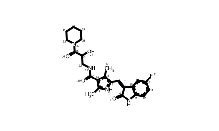 Cc1[nH]c(/C=C2\C(=O)Nc3ccc(F)cc32)c(C)c1C(=O)NCC(O)C(=O)N1CCCCC1